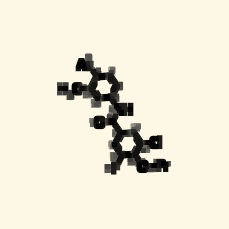 CC(=O)c1ccc(NC(=O)c2cc(F)c(OC(C)C)c(Cl)c2)cc1C